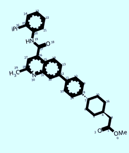 COC(=O)C[C@H]1CC[C@H](c2ccc(-c3ccc4c(C(=O)Nc5ccccc5C(C)C)cc(C)nc4c3)cc2)CC1